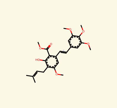 COC(=O)c1c(/C=C/c2cc(OC)c(OC)c(OC)c2)cc(OC)c(CC=C(C)C)c1O